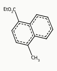 CCOC(=O)c1ccc(C)c2ccccc12